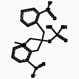 COCC(Cc1ccccc1[N+](=O)[O-])(Cc1ccccc1[N+](=O)[O-])OP(=O)(O)O